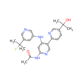 CC(=O)Nc1cc(Nc2cncc(C(C)(C)F)c2)c(-c2ccc(C(C)(C)O)cn2)cn1